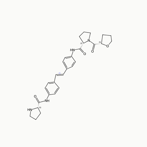 O=C(Nc1ccc(/C=C/c2ccc(NC(=O)[C@@H]3CCCN3C(=O)[C@@H]3CCCO3)cc2)cc1)[C@@H]1CCCN1